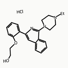 CCN1CCN(c2nc(-c3ccccc3OCCO)cc3ccccc23)CC1.Cl